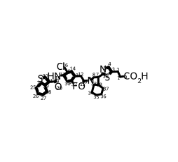 O=C(O)CCc1cnc(C2CN(C(=O)Cc3cc(Cl)c(NC(=O)c4csc5ccccc45)cc3F)C3CCCCC23)s1